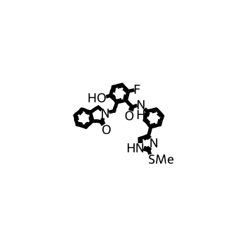 CSc1nc(-c2cccc(NC(=O)c3c(F)ccc(O)c3CN3Cc4ccccc4C3=O)c2)c[nH]1